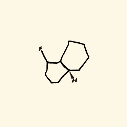 FC1CCC[C@@H]2CCCCC12